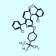 CC(C)(C)N1CCC(Oc2cc3c(ccc(=O)n3-c3c(Cl)cccc3Cl)c(-c3ccccc3Cl)n2)CC1